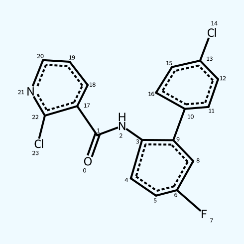 O=C(Nc1ccc(F)cc1-c1ccc(Cl)cc1)c1cccnc1Cl